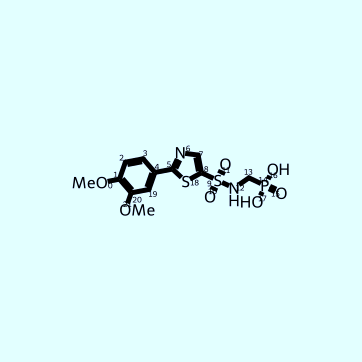 COc1ccc(-c2ncc(S(=O)(=O)NCP(=O)(O)O)s2)cc1OC